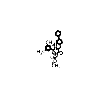 CCOC(=O)CNC(=O)C(Cc1ccc(-c2ccccc2)cc1)NC(=O)c1cc(C)cc(C)c1